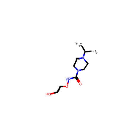 CC(C)N1CCN(C(=O)NOCCO)CC1